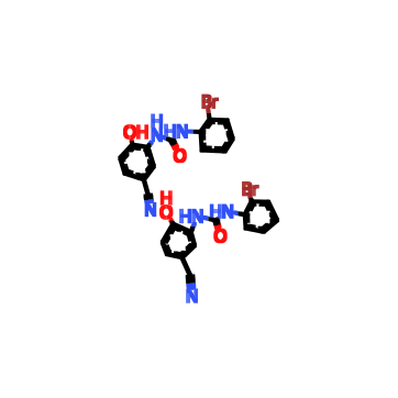 N#Cc1ccc(O)c(NC(=O)Nc2ccccc2Br)c1.N#Cc1ccc(O)c(NC(=O)Nc2ccccc2Br)c1